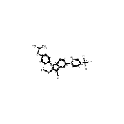 CC(C)Oc1ccc(-n2c(CO)c(Cl)c3cc(-c4ccc(C(F)(F)F)cn4)ccc32)cc1